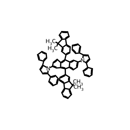 CC1(C)c2ccccc2-c2ccc(-c3c4ccc(-n5c(-c6ccccc6)ccc5-c5ccccc5)cc4c(-c4ccc5c(c4)C(C)(C)c4ccccc4-5)c4ccc(-n5c(-c6ccccc6)ccc5-c5ccccc5)cc34)cc21